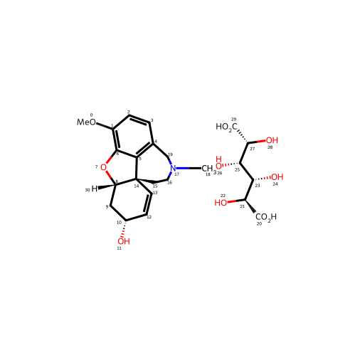 COc1ccc2c3c1O[C@H]1C[C@@H](O)C=C[C@@]31CCN(C)C2.O=C(O)[C@@H](O)[C@@H](O)[C@H](O)[C@@H](O)C(=O)O